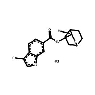 Cl.O=C(N[C@H]1CN2CCC1CC2)c1ccc2c(Cl)coc2c1